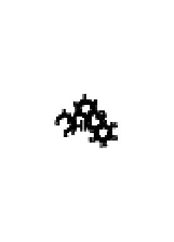 CCN(CC)c1cccc2c1Nc1ccccc1O2